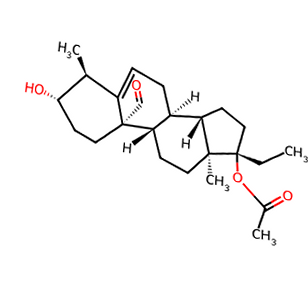 CC[C@]1(OC(C)=O)CC[C@H]2[C@@H]3CC=C4[C@H](C)[C@@H](O)CC[C@]4(C=O)[C@H]3CC[C@@]21C